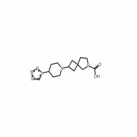 O=C(O)N1CCC2(CC(N3CCC(n4cnnn4)CC3)C2)C1